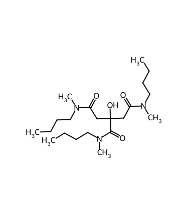 CCCCN(C)C(=O)CC(O)(CC(=O)N(C)CCCC)C(=O)N(C)CCCC